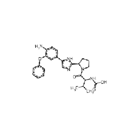 CC(C)[C@H](NC(=O)O)C(=O)N1CCCC1c1ncc(-c2ccc(N)c(Oc3ccccc3)c2)[nH]1